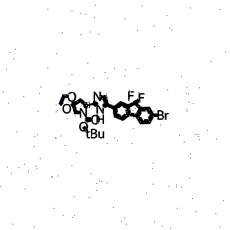 CC(C)(C)OC(=O)N1CC2(C[C@H]1c1ncc(-c3ccc4c(c3)C(F)(F)c3cc(Br)ccc3-4)[nH]1)OCCO2